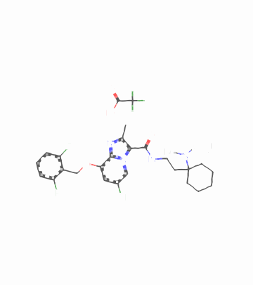 Cc1nc2c(OCc3c(F)cccc3F)cc(Cl)cn2c1C(=O)NCCC1(N(C(=O)O)C(C)(C)C)CCCCC1.O=C(O)C(F)(F)F